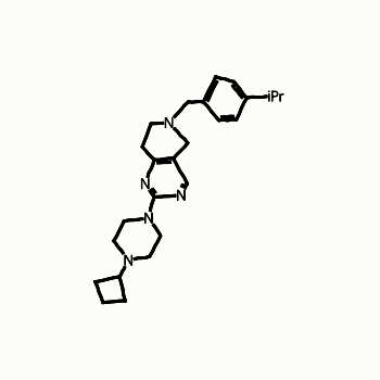 CC(C)c1ccc(CN2CCc3nc(N4CCN(C5CCC5)CC4)ncc3C2)cc1